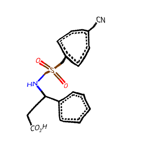 N#Cc1ccc(S(=O)(=O)NC(CC(=O)O)c2ccccc2)cc1